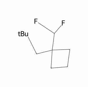 CC(C)(C)CC1(C(F)F)CCC1